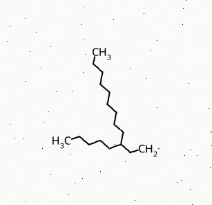 [CH2]CC(CCCCC)CCCCCCCCC